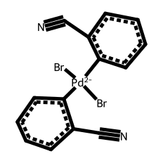 N#Cc1cccc[c]1[Pd-2]([Br])([Br])[c]1ccccc1C#N